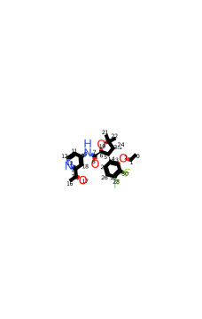 CCOc1c([C@@H]2[C@@H](C(=O)Nc3ccnc(C(C)=O)c3)OC(C)(C)[C@@H]2C)ccc(F)c1F